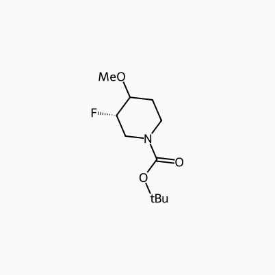 COC1CCN(C(=O)OC(C)(C)C)C[C@@H]1F